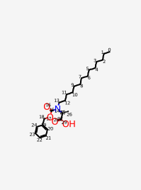 CCCCCCCCCCCCCCN(C(=O)OCc1ccccc1)[C@@H](C)C(=O)O